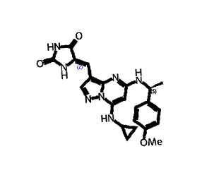 COc1ccc([C@H](C)Nc2cc(NC3CC3)n3ncc(/C=C4\NC(=O)NC4=O)c3n2)cc1